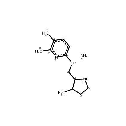 Cc1ccc(OCC2NCCC2C)nc1C.N